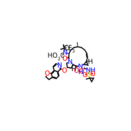 CC[C@@H]1C[C@@H](C)CC/C=C\[C@@H]2C[C@@]2(C(=O)NS(=O)(=O)C2(C)CC2)NC(=O)[C@@H]2C[C@@H](Oc3nccc4c5c(ccc34)CCO5)CN2C(=O)[C@H]1N(C(=O)O)C(C)(C)C(F)(F)F